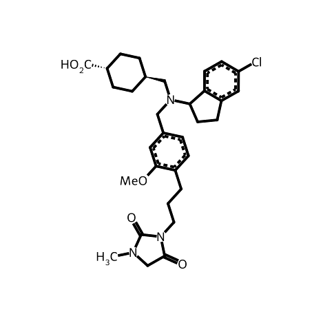 COc1cc(CN(C[C@H]2CC[C@H](C(=O)O)CC2)C2CCc3cc(Cl)ccc32)ccc1CCCN1C(=O)CN(C)C1=O